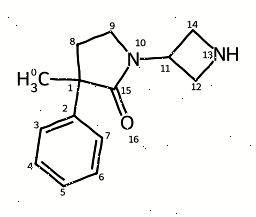 CC1(c2ccccc2)CCN(C2CNC2)C1=O